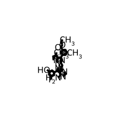 CCOC(=O)c1cc(C)cc(-c2nc(Cn3nc(-c4cc(O)cc(F)c4)c4c(N)ncnc43)nn3ccc(C)c23)c1